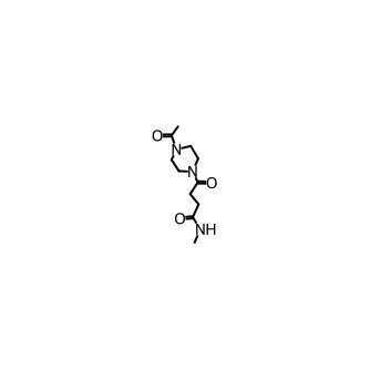 CNC(=O)CCC(=O)N1CCN(C(C)=O)CC1